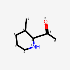 CC(=O)C1NCCCC1C